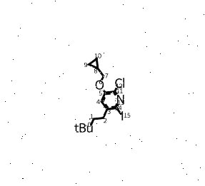 CC(C)(C)[CH]Cc1cc(OCC2CC2)c(Cl)nc1I